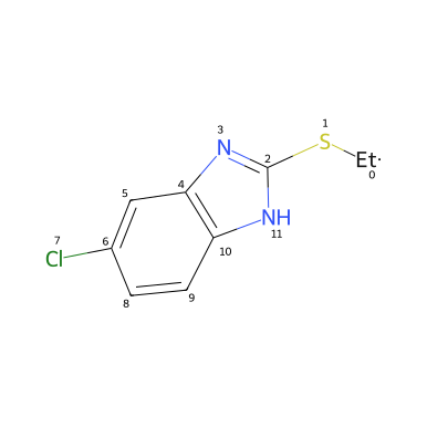 C[CH]Sc1nc2cc(Cl)ccc2[nH]1